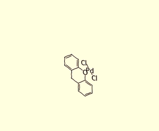 [Cl][Pd][Cl].c1ccc2c(c1)Cc1ccccc1O2